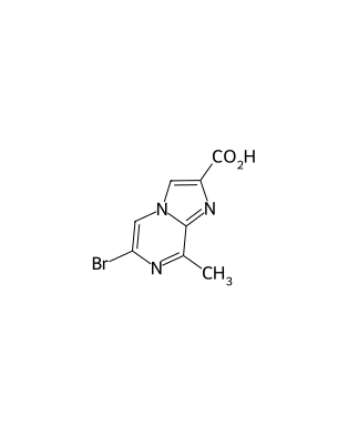 Cc1nc(Br)cn2cc(C(=O)O)nc12